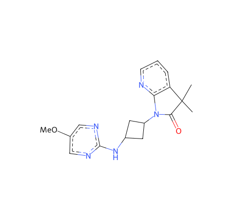 COc1cnc(NC2CC(N3C(=O)C(C)(C)c4cccnc43)C2)nc1